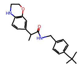 CC(C(=O)NCc1ccc(C(C)(C)C)cc1)c1ccc2c(c1)OCCN2